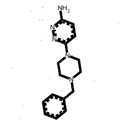 Nc1ccc(N2CCN(Cc3ccccc3)CC2)nn1